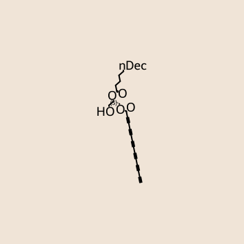 C#CC#CC#CC#CC#CC#CC(=O)OC[C@H](CO)OC(=O)CCCCCCCCCCCCCC